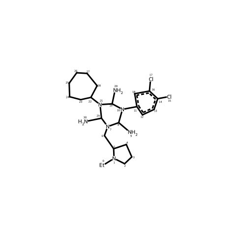 CCN1CCCC1CN1C(N)N(c2ccc(Cl)c(Cl)c2)C(N)N(C2CCCCCC2)C1N